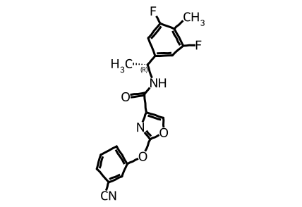 Cc1c(F)cc([C@@H](C)NC(=O)c2coc(Oc3cccc(C#N)c3)n2)cc1F